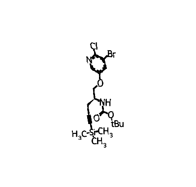 CC(C)(C)OC(=O)N[C@@H](CC#C[Si](C)(C)C)COc1cnc(Cl)c(Br)c1